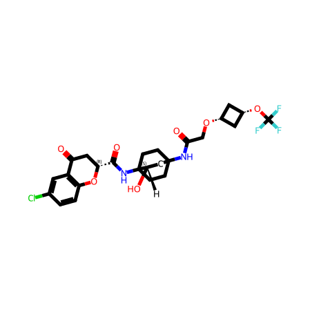 O=C(CO[C@H]1C[C@@H](OC(F)(F)F)C1)NC12CCC(NC(=O)[C@H]3CC(=O)c4cc(Cl)ccc4O3)(CC1)[C@@H](O)C2